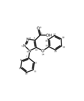 O=C(O)c1nnn(-c2ccccc2)c1Oc1ccccc1